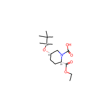 CCOC(=O)[C@@H]1CC[C@H](O[Si](C)(C)C(C)(C)C)CN1C(=O)O